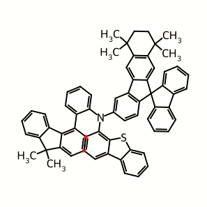 CC1(C)CCC(C)(C)c2cc3c(cc21)-c1cc(N(c2ccccc2-c2cccc4c2-c2ccccc2C4(C)C)c2cccc4c2sc2ccccc24)ccc1C31c2ccccc2-c2ccccc21